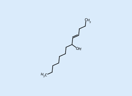 CCCC=CC(O)CCCCCCC